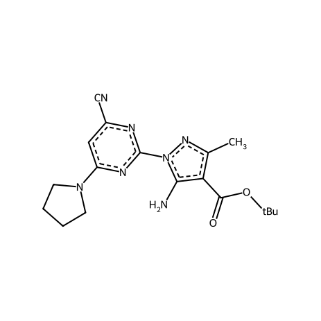 Cc1nn(-c2nc(C#N)cc(N3CCCC3)n2)c(N)c1C(=O)OC(C)(C)C